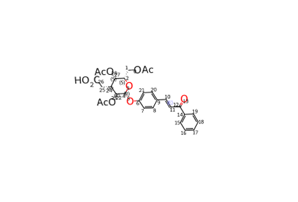 CC(=O)OC[C@@H]1O[C@H](Oc2ccc(/C=C/C(=O)c3ccccc3)cc2)[C@H](OC(C)=O)[C@H](CC(=O)O)[C@@H]1OC(C)=O